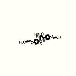 C#CCOc1ccc(C(NS(=O)(=O)c2ccc(OCC#CC)cc2)C(=O)NO)cc1